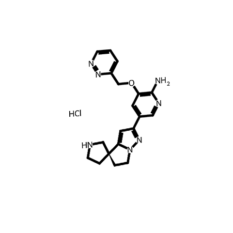 Cl.Nc1ncc(-c2cc3n(n2)CC[C@]32CCNC2)cc1OCc1cccnn1